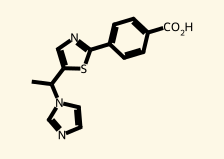 CC(c1cnc(-c2ccc(C(=O)O)cc2)s1)n1ccnc1